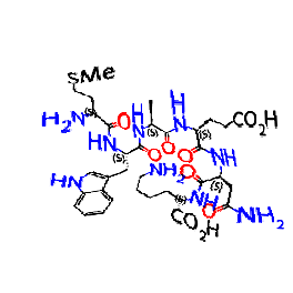 CSCC[C@H](N)C(=O)N[C@@H](Cc1c[nH]c2ccccc12)C(=O)N[C@@H](C)C(=O)N[C@@H](CCC(=O)O)C(=O)N[C@@H](CC(N)=O)C(=O)N[C@@H](CCCCN)C(=O)O